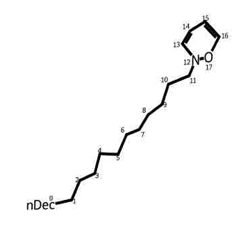 CCCCCCCCCCCCCCCCCCCCCN1C=CC=CO1